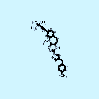 Cc1ccc(Cc2cnn(C(=O)N[C@@H]3CCc4ccc(C#CC(C)(C)O)cc4N(C)C3=O)c2)cc1